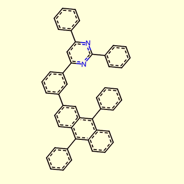 c1ccc(-c2cc(-c3cccc(-c4ccc5c(-c6ccccc6)c6ccccc6c(-c6ccccc6)c5c4)c3)nc(-c3ccccc3)n2)cc1